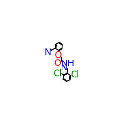 N#Cc1ccccc1OCC(=O)N/N=C/c1c(Cl)cccc1Cl